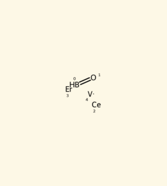 B=O.[Ce].[Er].[V]